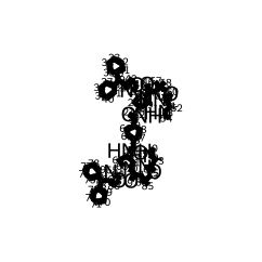 CN[C@@H](C)C(=O)N[C@H](C(=O)N1C[C@@H](NC(=O)c2ccc(C(=O)N[C@H]3C[C@@H](c4nc(C(c5ccccc5)c5ccccc5)co4)N(C(=O)[C@@H](NC(=O)[C@H](C)NC)C(C)(C)C)C3)cc2)C[C@H]1c1nc(C(c2ccccc2)c2ccccc2)co1)C(C)(C)C